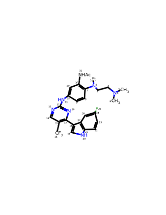 CCN(CCN(C)C)c1ccc(Nc2ncc(C(F)(F)F)c(-c3c[nH]c4ccc(F)cc34)n2)cc1NC(C)=O